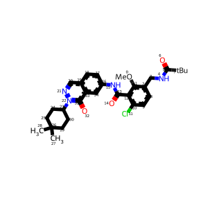 COc1c(CNC(=O)C(C)(C)C)ccc(Cl)c1C(=O)Nc1ccc2cnn(C3CCC(C)(C)CC3)c(=O)c2c1